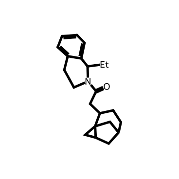 CCC1c2ccccc2CCN1C(=O)CC1CCC2CC3CC13C2